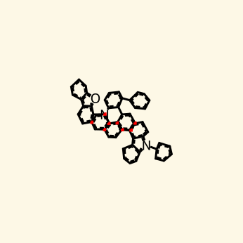 c1ccc(-c2ccccc2-c2c(-c3ccccc3)cccc2N(c2cccc(-c3cccc4c3c3ccccc3n4-c3ccccc3)c2)c2cccc3c2oc2ccccc23)cc1